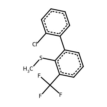 CSc1c(-c2ccccc2Cl)cccc1C(F)(F)F